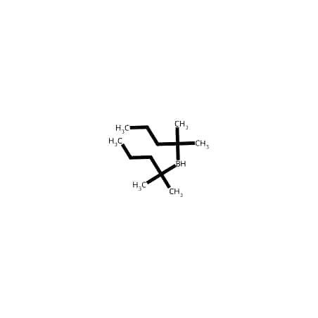 CCCC(C)(C)BC(C)(C)CCC